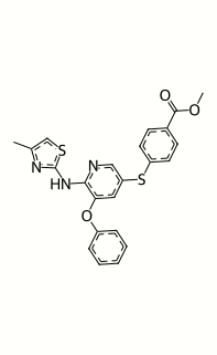 COC(=O)c1ccc(Sc2cnc(Nc3nc(C)cs3)c(Oc3ccccc3)c2)cc1